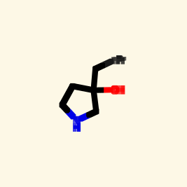 CCCCC1(O)CCNC1